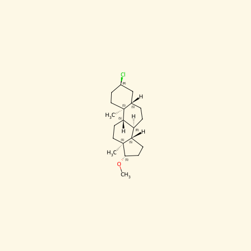 CO[C@H]1CC[C@H]2[C@@H]3CC[C@H]4C[C@H](Cl)CC[C@]4(C)[C@H]3CC[C@]12C